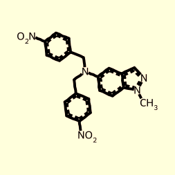 Cn1ncc2cc(N(Cc3ccc([N+](=O)[O-])cc3)Cc3ccc([N+](=O)[O-])cc3)ccc21